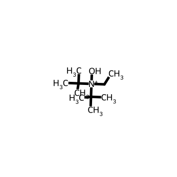 CC[N+](O)(C(C)(C)C)C(C)(C)C